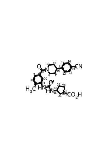 Cc1ccc(C(=O)N2CCC(c3ccc(C#N)cc3)CC2)cc1NC(=O)N[C@H]1CCN(C(=O)O)C1